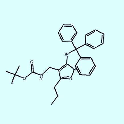 CCCc1n[nH]c(NC(c2ccccc2)(c2ccccc2)c2ccccc2)c1CNC(=O)OC(C)(C)C